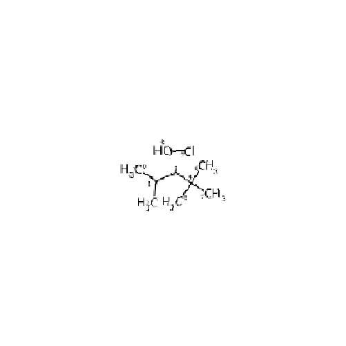 CC(C)CC(C)(C)C.OCl